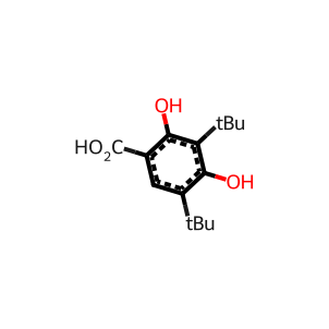 CC(C)(C)c1cc(C(=O)O)c(O)c(C(C)(C)C)c1O